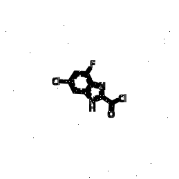 O=C(Cl)c1nc2c(F)cc(Cl)cc2[nH]1